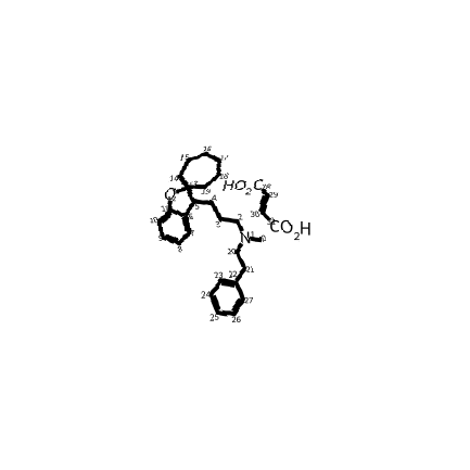 CN(CCCC1c2ccccc2OC12CCCCCC2)CCc1ccccc1.O=C(O)/C=C/C(=O)O